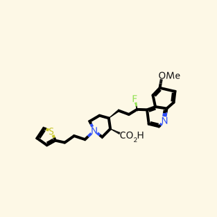 COc1ccc2nccc([C@H](F)CC[C@@H]3CCN(CCCc4cccs4)C[C@@H]3C(=O)O)c2c1